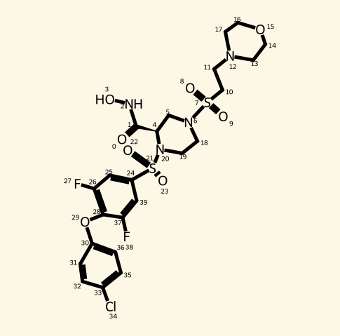 O=C(NO)[C@H]1CN(S(=O)(=O)CCN2CCOCC2)CCN1S(=O)(=O)c1cc(F)c(Oc2ccc(Cl)cc2)c(F)c1